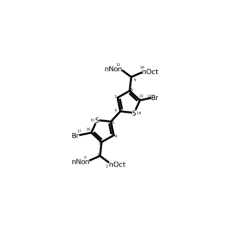 CCCCCCCCCC(CCCCCCCC)c1cc(-c2cc(C(CCCCCCCC)CCCCCCCCC)c(Br)s2)sc1Br